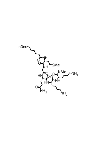 CCCCCCCCCCCCCCCC(=O)N[C@@H](CCSC)C(=O)NCC(=O)N[C@@H](CCC(N)=O)C(=O)N[C@@H](CCCCN)C(=O)N[C@@H](CCCCN)C(=O)NC